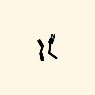 C=CC=C.CCC#N